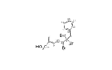 CC(=COC(Br)C(Br)(Br)Cc1ccccc1)C(=O)O